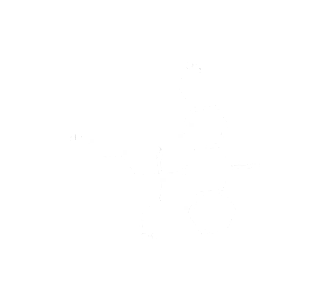 CCCSP(=O)(OCC)Oc1cc(OC)ccc1C(=O)c1ccccc1